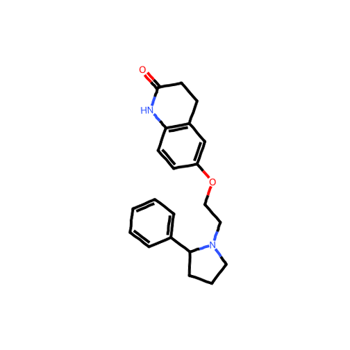 O=C1CCc2cc(OCCN3CCCC3c3ccccc3)ccc2N1